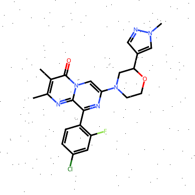 Cc1nc2c(-c3ccc(Cl)cc3F)nc(N3CCOC(c4cnn(C)c4)C3)cn2c(=O)c1C